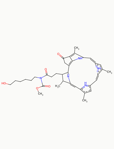 COC(=O)N(CCCCCCO)C(=O)CCC1C2=NC(=Cc3[nH]c(cc3C)C=c3[nH]c(cc3C)=CC3NC4=C2CC(=O)C4=C3C)C1C